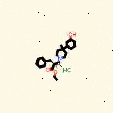 CCOC(=O)[C@@H](Cc1ccccc1)[C@@H](C)N1CCC(C)(c2cccc(O)c2)CC1.Cl